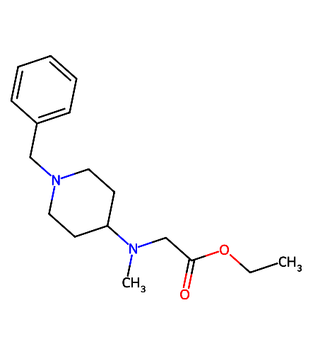 CCOC(=O)CN(C)C1CCN(Cc2ccccc2)CC1